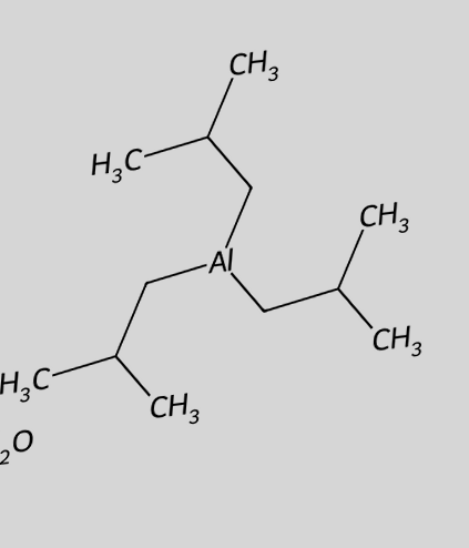 CC(C)[CH2][Al]([CH2]C(C)C)[CH2]C(C)C.O